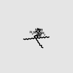 CCCCCCCCc1ccc(S(=O)(=O)[O-])c(CCCCCCCC)c1CCCCCCCC.N=C(N)NC(=N)N.[Na+]